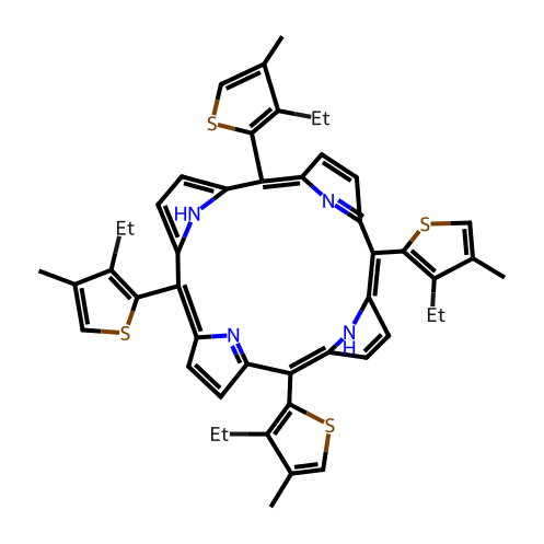 CCc1c(C)csc1-c1c2nc(c(-c3scc(C)c3CC)c3ccc([nH]3)c(-c3scc(C)c3CC)c3nc(c(-c4scc(C)c4CC)c4ccc1[nH]4)C=C3)C=C2